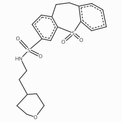 O=S(=O)(NCCC1CCOCC1)c1ccc2c(c1)S(=O)(=O)c1ccccc1CC2